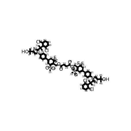 CC(C)(O)c1cn(-c2ccc(C3=CC(S(C)(=O)=O)=C(COC(=O)/C=C/C(=O)OCC4=C(S(C)(=O)=O)C=C(c5ccc(-n6cc(C(C)(C)O)nc6C(C)(C)c6c(Cl)cccc6Cl)cc5)CC4(F)F)C(F)(F)C3)cc2)c(C(C)(C)c2c(Cl)cccc2Cl)n1